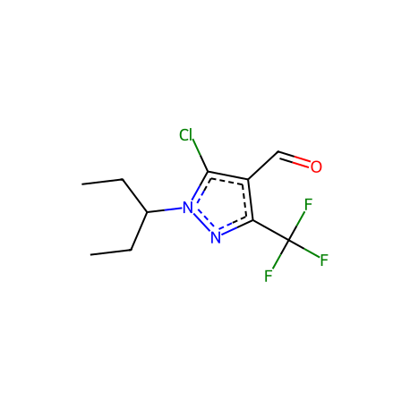 CCC(CC)n1nc(C(F)(F)F)c(C=O)c1Cl